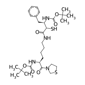 CC(C)(C)OC(=O)N[C@@H](CCCCNC(=O)C(S)[C@@H](Cc1ccccc1)NC(=O)OC(C)(C)C)C(=O)N1CCSC1